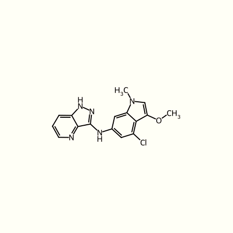 COc1cn(C)c2cc(Nc3n[nH]c4cccnc34)cc(Cl)c12